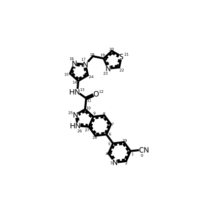 N#Cc1cncc(-c2ccc3c(C(=O)Nc4cnn(Cc5cscn5)c4)n[nH]c3c2)c1